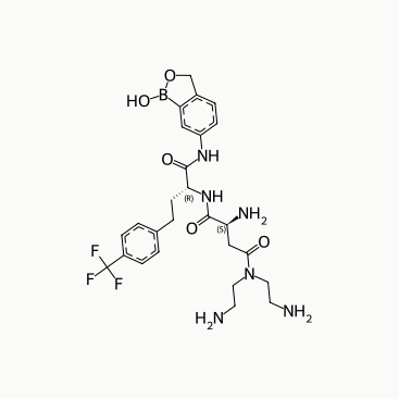 NCCN(CCN)C(=O)C[C@H](N)C(=O)N[C@H](CCc1ccc(C(F)(F)F)cc1)C(=O)Nc1ccc2c(c1)B(O)OC2